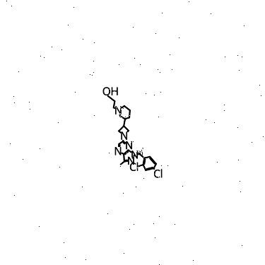 Cc1nn([C@H](C)c2ccc(Cl)cc2Cl)c2nc(N3CC(C4CCCN(CCCO)C4)C3)cnc12